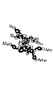 CCn1nc(C[N+]2(CC3=C(C(=O)OCc4ccc(OC)cc4)N4C(=O)[C@@H](NC(=O)/C(=N\O[C@@H](CC(=O)OC(C)(C)C)C(=O)OCc5ccc(OC)cc5)c5csc(NC(=O)OC(C)(C)C)n5)[C@H]4SC3)CCCCC2)c(=O)c2cc(OCc3ccc(OC)cc3)c(OCc3ccc(OC)cc3)cc21